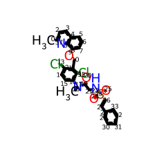 Cc1ccc2cccc(OCc3c(Cl)ccc(N(C)C(=O)CNS(=O)(=O)C=Cc4ccccc4)c3Cl)c2n1